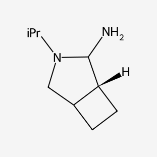 CC(C)N1CC2CC[C@H]2C1N